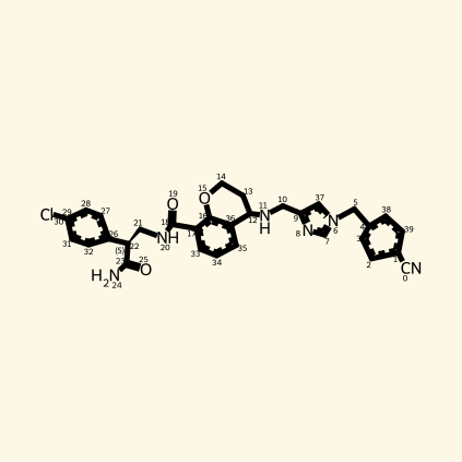 N#Cc1ccc(Cn2cnc(CNC3CCOc4c(C(=O)NC[C@@H](C(N)=O)c5ccc(Cl)cc5)cccc43)c2)cc1